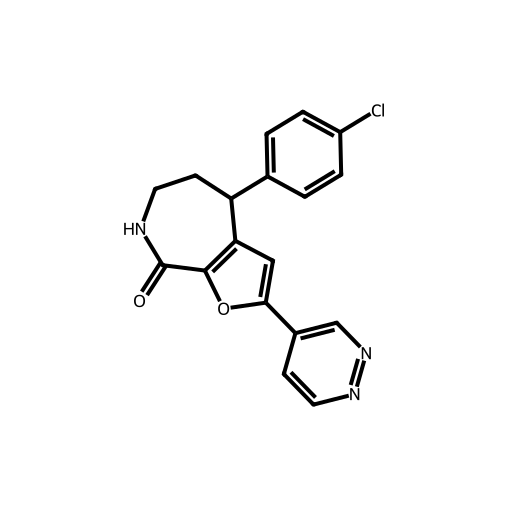 O=C1NCCC(c2ccc(Cl)cc2)c2cc(-c3ccnnc3)oc21